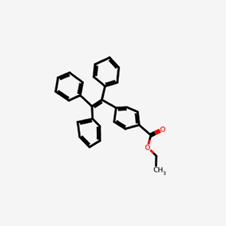 CCOC(=O)c1ccc(C(=C(c2ccccc2)c2ccccc2)c2ccccc2)cc1